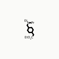 CCOC(=O)CC1CCC(CN(CC)C(C)C)CC1